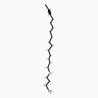 CC#CCCCCCCCCCCCCSCCCO